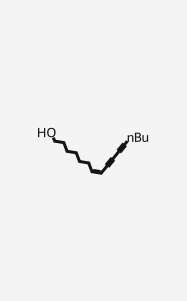 CCCCC#CC#C/C=C\CCCCCCO